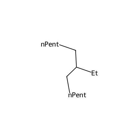 [CH2]CCCCCC(CC)CCCCC[CH2]